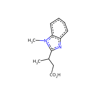 CC(CC(=O)O)c1nc2ccccc2n1C